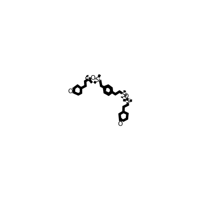 C[Si](C)(CCc1ccc(CC[Si](C)(C)O[Si](C)(C)CCC2CCC3OC3C2)cc1)O[Si](C)(C)CCC1CCC2OC2C1